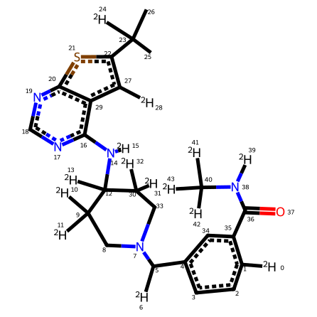 [2H]c1ccc(C([2H])N2CC([2H])([2H])C([2H])(N([2H])c3ncnc4sc(C([2H])(C)C)c([2H])c34)C([2H])([2H])C2)cc1C(=O)N([2H])C([2H])([2H])[2H]